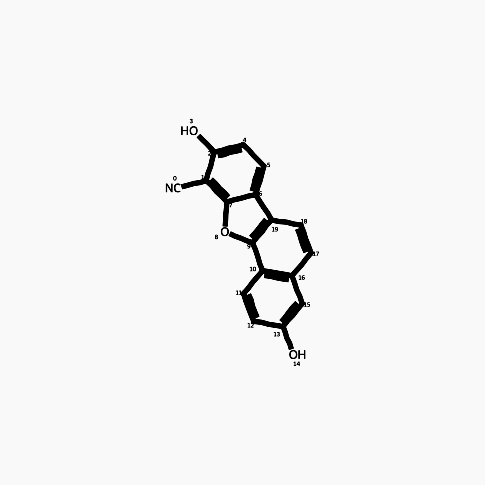 N#Cc1c(O)ccc2c1oc1c3ccc(O)cc3ccc21